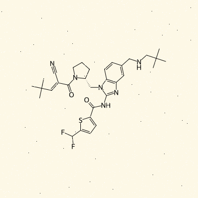 CC(C)(C)C=C(C#N)C(=O)N1CCC[C@@H]1Cn1c(NC(=O)c2ccc(C(F)F)s2)nc2cc(CNCC(C)(C)C)ccc21